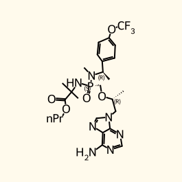 CCCOC(=O)C(C)(C)N[P@@](=O)(CO[C@H](C)Cn1cnc2c(N)ncnc21)N(C)[C@H](C)c1ccc(OC(F)(F)F)cc1